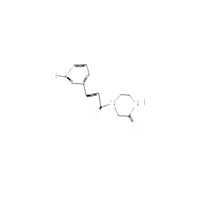 O=C1CN(C(=O)/C=C/c2cccc(Cl)c2)CCN1